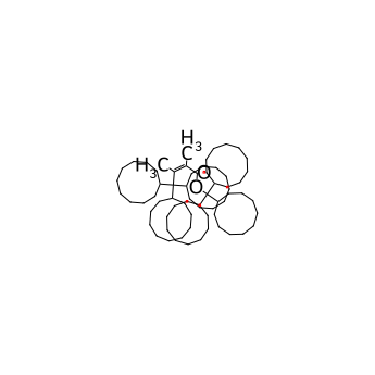 CC(C(=O)OC(C1CCCCCCCCC1)(C1CCCCCCCCC1)C1CCCCCCCCC1)=C(C)C(C1CCCCCCCCC1)(C1CCCCCCCCC1)C1CCCCCCCCC1